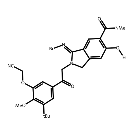 CCOc1cc2c(cc1C(=O)NC)/C(=N/Br)N(CC(=O)c1cc(OCC#N)c(OC)c(C(C)(C)C)c1)C2